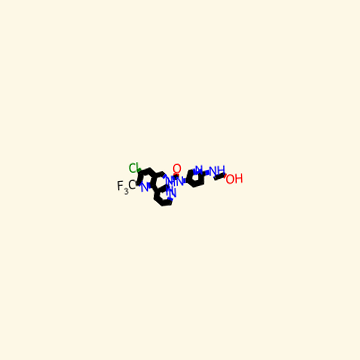 O=C(NCc1cc(Cl)c(C(F)(F)F)nc1-c1cccnc1)Nc1ccc(NCCO)nc1